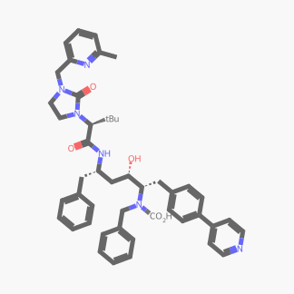 Cc1cccc(CN2CCN([C@H](C(=O)N[C@@H](Cc3ccccc3)C[C@H](O)[C@H](Cc3ccc(-c4ccncc4)cc3)N(Cc3ccccc3)C(=O)O)C(C)(C)C)C2=O)n1